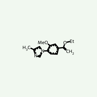 C=C(OCC)c1ccc(-n2cnc(C)c2)c(OC)c1